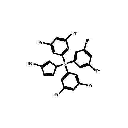 CC(C)c1cc(C(C)C)cc([Si]([C]2C=CC(C(C)(C)C)=C2)(c2cc(C(C)C)cc(C(C)C)c2)c2cc(C(C)C)cc(C(C)C)c2)c1